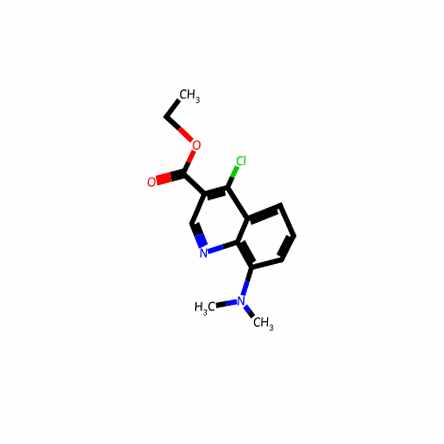 CCOC(=O)c1cnc2c(N(C)C)cccc2c1Cl